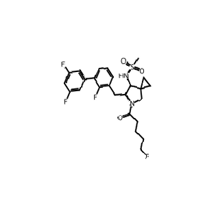 CS(=O)(=O)NC1C(Cc2cccc(-c3cc(F)cc(F)c3)c2F)N(C(=O)CCCCF)CC12CC2